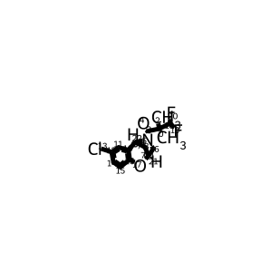 CC(C)(C(=O)N1C[C@@H]2C[C@H]1c1cc(Cl)ccc1O2)C(F)F